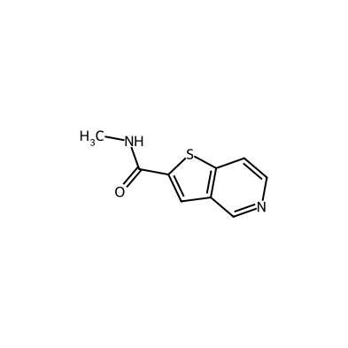 CNC(=O)c1cc2cnccc2s1